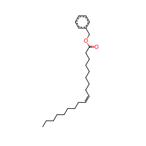 CCCCCCCC/C=C\CCCCCCCC(=O)OCc1ccccc1